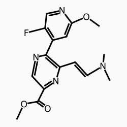 COC(=O)c1cnc(-c2cc(OC)ncc2F)c(C=CN(C)C)n1